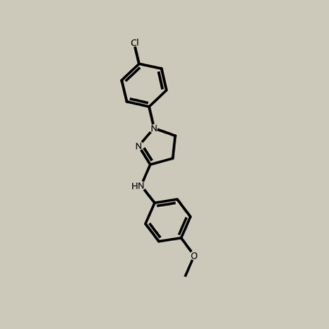 COc1ccc(NC2=NN(c3ccc(Cl)cc3)CC2)cc1